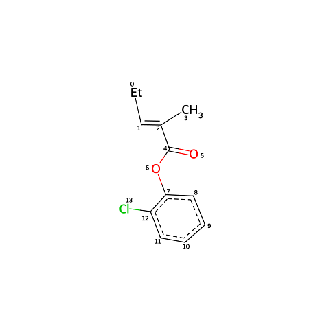 CCC=C(C)C(=O)Oc1ccccc1Cl